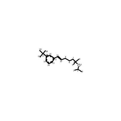 CC(C)OC(C)(C)CCC/C=C/c1cccc(C(C)(C)C)c1